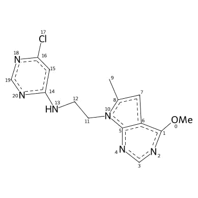 COc1ncnc2c1cc(C)n2CCNc1cc(Cl)ncn1